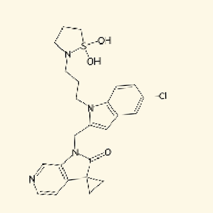 O=C1N(Cc2cc3cc(Cl)ccc3n2CCCN2CCCS2(O)O)c2cnccc2C12CC2